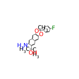 CC(C)(O)c1cc2cc3c(cc2cc1N)OC(C)(c1ccc(F)cc1)O3